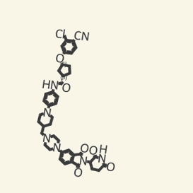 N#Cc1ccc(O[C@H]2CC[C@H](C(=O)Nc3ccc(N4CCC(CN5CCN(c6ccc7c(c6)C(=O)N(C6CCC(=O)NC6=O)C7=O)CC5)CC4)cc3)C2)cc1Cl